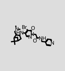 CN(C)CC1C(Nc2cnn(CC(=O)NCc3ccncc3)c(=O)c2Br)CC2CC1C2(C)C